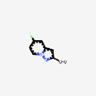 O=Cc1cc2cc(F)ccn2n1